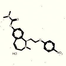 CN(C)C(=O)Oc1ccc2c(c1)C=CCN(C)[C@@H]2CCOc1ccc([N+](=O)[O-])cc1.Cl